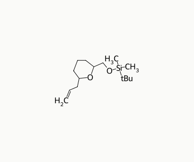 C=CCC1CCCC(CO[Si](C)(C)C(C)(C)C)O1